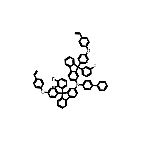 C=Cc1ccc(Oc2ccc(C3(c4cccc(F)c4F)c4ccccc4-c4ccc(N(c5ccc(-c6ccccc6)cc5)c5ccc6c(c5)C(c5ccc(Oc7ccc(C=C)cc7)cc5)(c5cccc(F)c5F)c5ccccc5-6)cc43)cc2)cc1